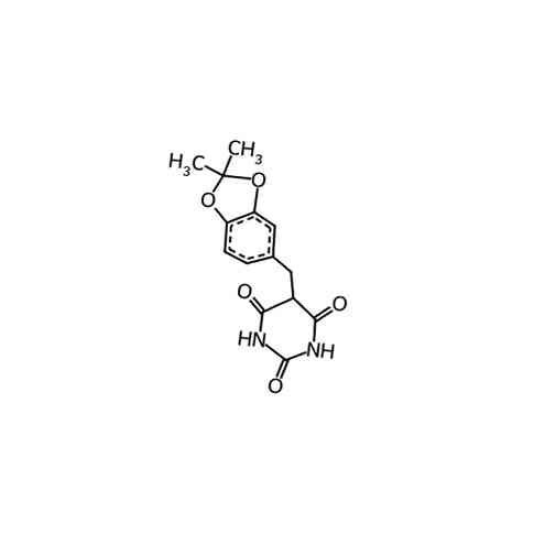 CC1(C)Oc2ccc(CC3C(=O)NC(=O)NC3=O)cc2O1